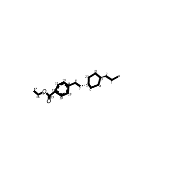 CCC[C@H]1CC[C@H](CCc2ccc(C(=O)OCC)cc2)CC1